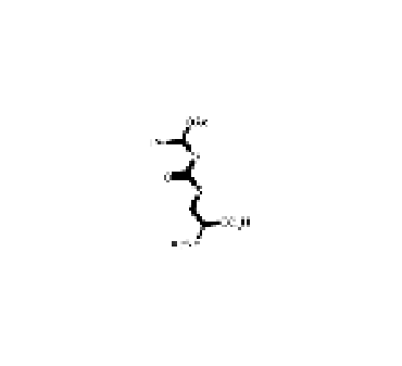 CC(=O)N[C@@H](CSC(=O)O[C@H](OC(C)=O)C(C)C)C(=O)O